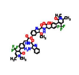 COC1C(C(=O)NC(Cc2ccc(-c3c(C(F)(F)F)cc(C)n(C)c3=O)cc2)C(=O)O)=Nc2ccc(OC(=O)C(Cc3ccc(-c4c(C(F)(F)F)cc(C)n(C)c4=O)cc3)NC(=O)C3=Nc4ccccc4C3N)cc21